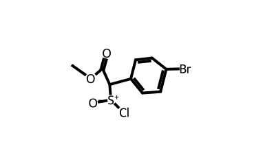 COC(=O)C(c1ccc(Br)cc1)[S+]([O-])Cl